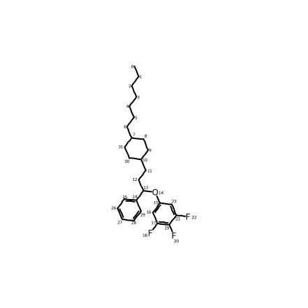 CCCCCCCC1CCC(CCC(Oc2cc(F)c(F)c(F)c2)c2ccccc2)CC1